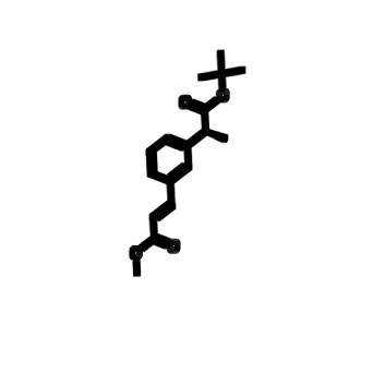 COC(=O)C=Cc1cccc([C@H](C)C(=O)OC(C)(C)C)c1